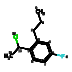 CCCc1cc(F)ccc1C(C)Cl